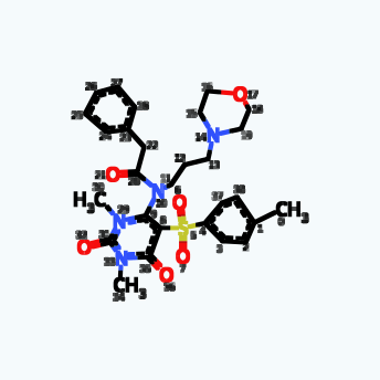 Cc1ccc(S(=O)(=O)c2c(N(CCCN3CCOCC3)C(=O)Cc3ccccc3)n(C)c(=O)n(C)c2=O)cc1